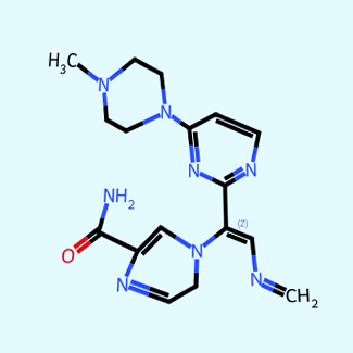 C=N/C=C(/c1nccc(N2CCN(C)CC2)n1)N1C=C(C(N)=O)N=CC1